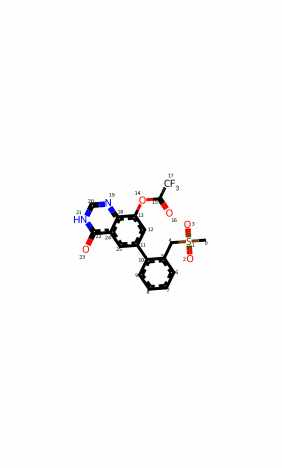 CS(=O)(=O)Cc1ccccc1-c1cc(OC(=O)C(F)(F)F)c2nc[nH]c(=O)c2c1